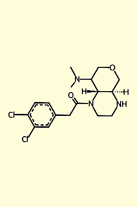 CN(C)C1COC[C@H]2NCCN(C(=O)Cc3ccc(Cl)c(Cl)c3)[C@H]12